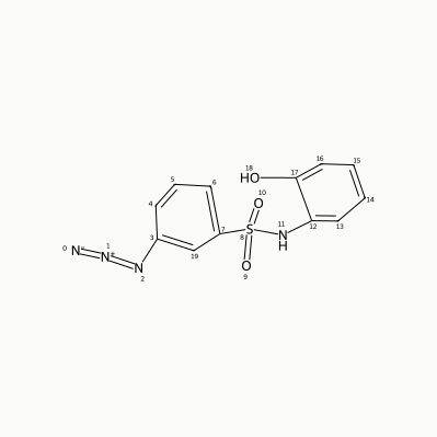 [N-]=[N+]=Nc1cccc(S(=O)(=O)Nc2ccccc2O)c1